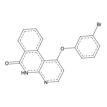 O=c1[nH]c2nccc(Oc3cccc(Br)c3)c2c2ccccc12